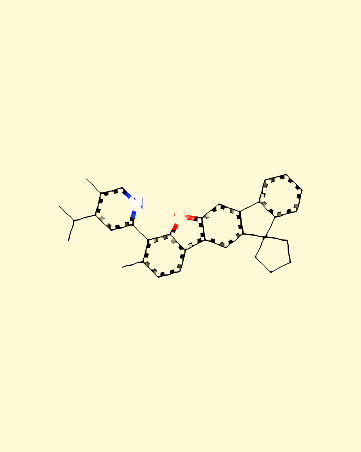 Cc1cnc(-c2c(C)ccc3c2oc2cc4c(cc23)C2(CCCC2)c2ccccc2-4)cc1C(C)C